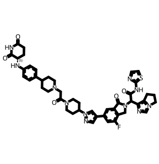 O=C1CC[C@H](Nc2ccc(C3CCN(CC(=O)N4CCC(n5cc(-c6cc(F)c7c(c6)C(=O)N(C(C(=O)Nc6nccs6)c6ncn8c6CCC8)C7)cn5)CC4)CC3)cc2)C(=O)N1